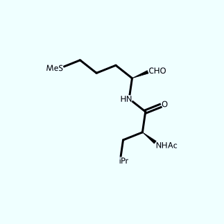 CSCCC[C@@H](C=O)NC(=O)[C@H](CC(C)C)NC(C)=O